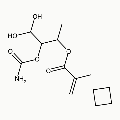 C1CCC1.C=C(C)C(=O)OC(C)C(OC(N)=O)C(O)O